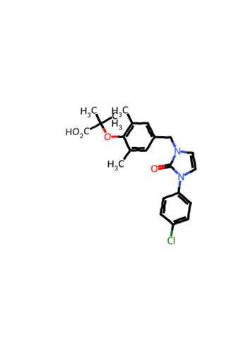 Cc1cc(Cn2ccn(-c3ccc(Cl)cc3)c2=O)cc(C)c1OC(C)(C)C(=O)O